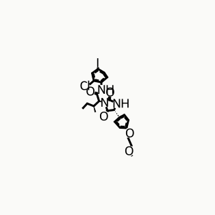 CC[C@H](C)[C@@H](C(=O)Nc1ccc(I)cc1Cl)N1C(=O)N[C@H](c2ccc(OCCOC)cc2)C1=O